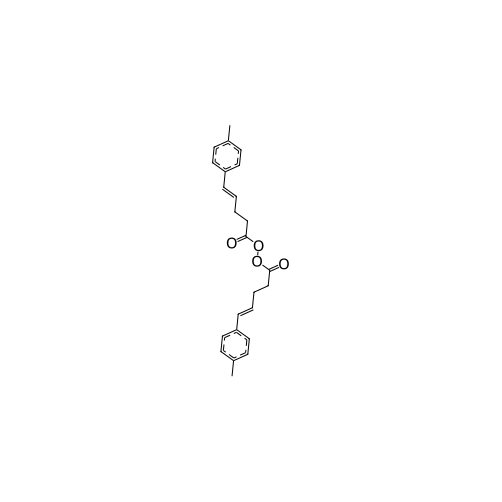 Cc1ccc(C=CCCC(=O)OOC(=O)CCC=Cc2ccc(C)cc2)cc1